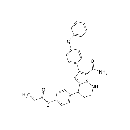 C=CC(=O)Nc1ccc(C2CCNn3c2nc(-c2ccc(Oc4ccccc4)cc2)c3C(N)=O)cc1